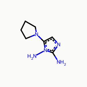 Nc1ncc(N2CCCC2)n1N